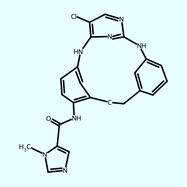 Cn1cncc1C(=O)Nc1ccc2cc1CCc1cccc(c1)Nc1ncc(Cl)c(n1)N2